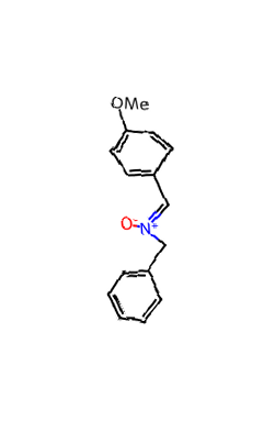 COc1ccc(C=[N+]([O-])Cc2ccccc2)cc1